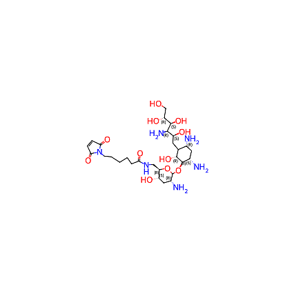 N[C@@H]([C@H](O)[C@H](O)CO)[C@@H](O)CC1[C@H](N)C[C@H](N)[C@@H](OC2O[C@H](CNC(=O)CCCCCN3C(=O)C=CC3=O)[C@@H](O)C[C@H]2N)[C@@H]1O